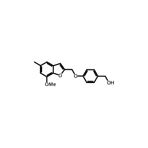 COc1cc(C)cc2cc(COc3ccc(CO)cc3)oc12